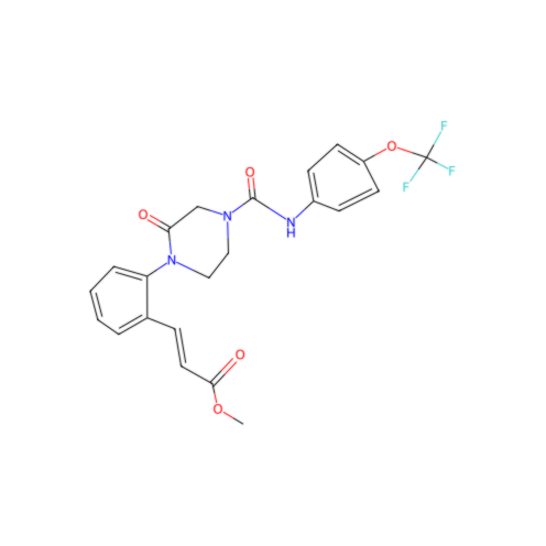 COC(=O)/C=C/c1ccccc1N1CCN(C(=O)Nc2ccc(OC(F)(F)F)cc2)CC1=O